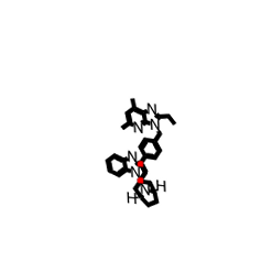 CCc1nc2c(C)cc(C)nc2n1Cc1ccc(/C=C/CN2[C@@H]3CC[C@H]2CC(n2cnc4ccccc42)C3)cc1